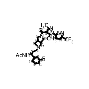 CC(=O)N[C@@H](CCN1CC2CN(C(=O)c3c(C)nn(-c4ccc(C(F)(F)F)nn4)c3C)CC2C1)c1cccc(F)c1